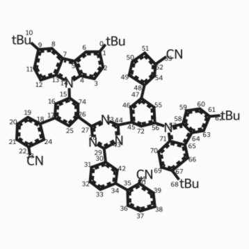 CC(C)(C)c1ccc2c(c1)c1cc(C(C)(C)C)ccc1n2-c1cc(-c2cccc(C#N)c2)cc(-c2nc(-c3cccc(-c4ccccc4C#N)c3)nc(-c3cc(-c4cccc(C#N)c4)cc(-n4c5ccc(C(C)(C)C)cc5c5cc(C(C)(C)C)ccc54)c3)n2)c1